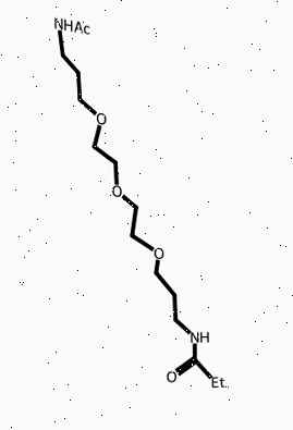 CCC(=O)NCCCOCCOCCOCCCNC(C)=O